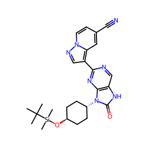 CC(C)(C)[Si](C)(C)O[C@H]1CC[C@H](n2c(=O)[nH]c3cnc(-c4cnn5ccc(C#N)cc45)nc32)CC1